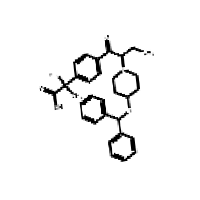 CCC(C(=O)c1ccc(C(C)(C)C(=O)O)cc1)N1CCC(OC(c2ccccc2)c2ccccc2)CC1